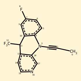 CC#CN1c2ccc(F)cc2C(C(F)(F)F)c2ccncc21